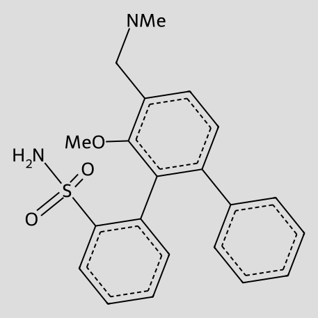 CNCc1ccc(-c2ccccc2)c(-c2ccccc2S(N)(=O)=O)c1OC